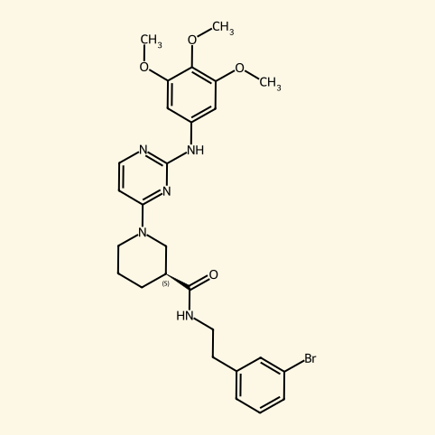 COc1cc(Nc2nccc(N3CCC[C@H](C(=O)NCCc4cccc(Br)c4)C3)n2)cc(OC)c1OC